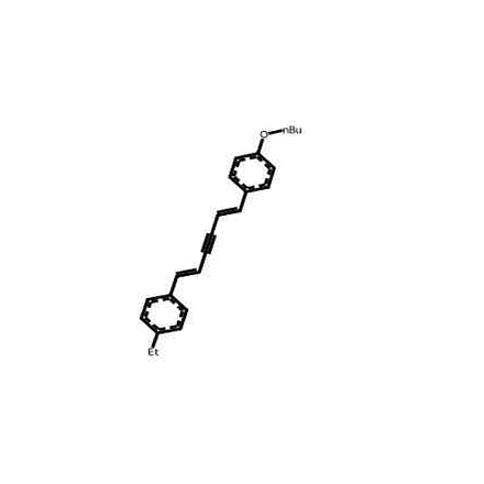 CCCCOc1ccc(/C=C/C#C/C=C/c2ccc(CC)cc2)cc1